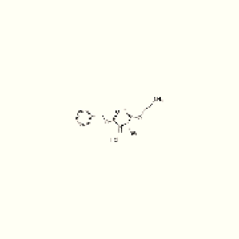 CC(C)[C@H](NC(=O)OCc1ccccc1)C(=O)OCCN.Cl